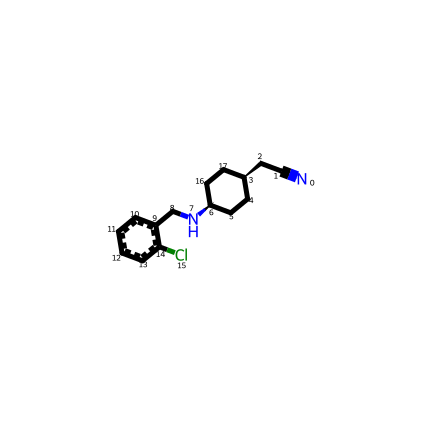 N#CC[C@H]1CC[C@@H](NCc2ccccc2Cl)CC1